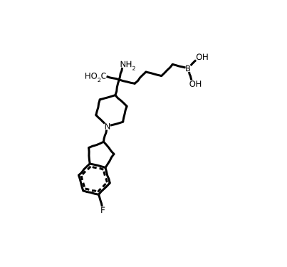 NC(CCCCB(O)O)(C(=O)O)C1CCN(C2Cc3ccc(F)cc3C2)CC1